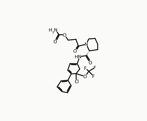 NC(=O)OCCC(=O)N1CCCC[C@@H]1C(=O)NC1=CC=C(c2ccccc2)C(Cl)(OC(F)(F)F)C1